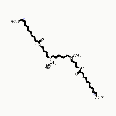 Br.Br.CCCCCCCC/C=C\CCCCCCCC(=O)NCCCCN(C)CC=CCCN(C)CCCNC(=O)CCCCCCC/C=C/CCCCCCCC